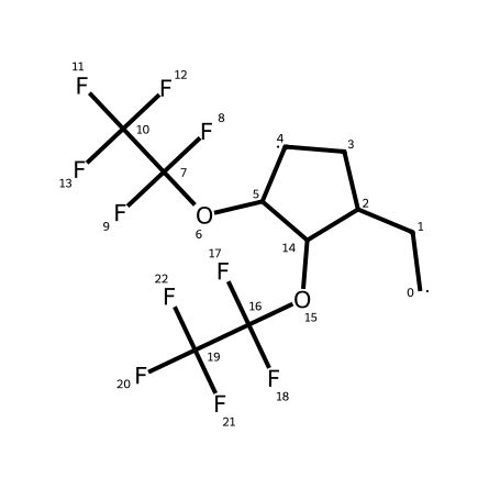 [CH2]CC1C[CH]C(OC(F)(F)C(F)(F)F)C1OC(F)(F)C(F)(F)F